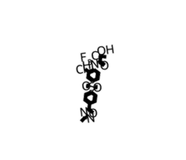 Cc1noc(-c2ccc(S(=O)(=O)c3ccc(NC(=O)C(C)(O)C(F)(F)F)c(Cl)c3)cc2)n1